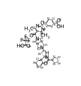 Cc1nc(Oc2ccc(C(=O)O)cc2)nc(C)c1C(=O)N1CC2CN(CC[C@H](NC(=O)C3CCCC3)c3ccccc3)CC2C1.O=C(O)C(F)(F)F